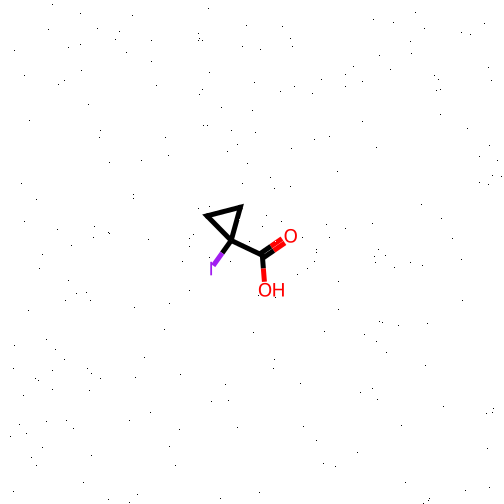 O=C(O)C1(I)CC1